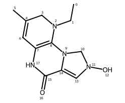 CCN1CC(C)=CC2=C1N1CN(O)C=C1C(=O)N2